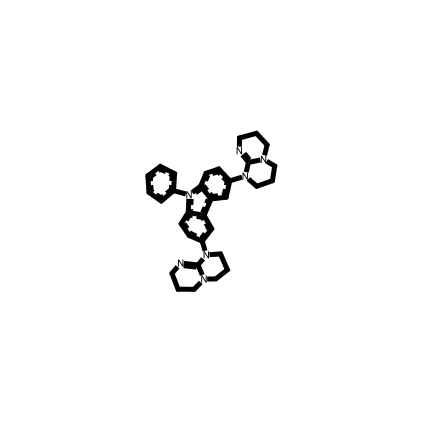 c1ccc(-n2c3ccc(N4CCCN5CCCN=C54)cc3c3cc(N4CCCN5CCCN=C54)ccc32)cc1